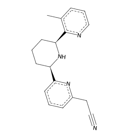 Cc1cccnc1[C@@H]1CCC[C@H](c2cccc(CC#N)n2)N1